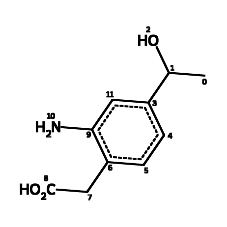 CC(O)c1ccc(CC(=O)O)c(N)c1